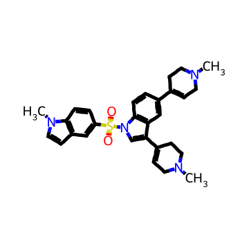 CN1CC=C(c2ccc3c(c2)c(C2=CCN(C)CC2)cn3S(=O)(=O)c2ccc3c(ccn3C)c2)CC1